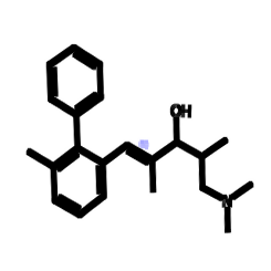 C/C(=C\c1cccc(C)c1-c1ccccc1)C(O)C(C)CN(C)C